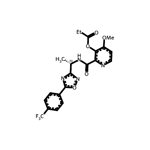 CCC(=O)Oc1c(OC)ccnc1C(=O)N[C@@H](C)c1noc(-c2ccc(C(F)(F)F)cc2)n1